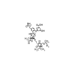 BC(=O)OCc1ccc(O[C@H]2C[C@@H](O)C[C@@H](C(=O)O)O2)c(C(=O)N[C@@H](CC(C)(C)C(=O)O)C(=O)NCCCC[C@H](NC(=O)COC(C)C)C(=O)NC(C)C)c1